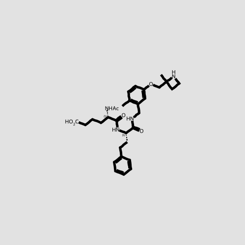 CC(=O)N[C@@H](CCCC(=O)O)C(=O)N[C@@H](CCc1ccccc1)C(=O)NCc1cc(OCC2(C)CCN2)ccc1C